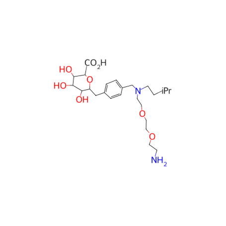 CC(C)CCN(CCOCCOCCN)Cc1ccc(CC2OC(C(=O)O)C(O)C(O)C2O)cc1